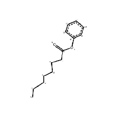 CCCCCCCC(=O)Oc1cc[c]cc1